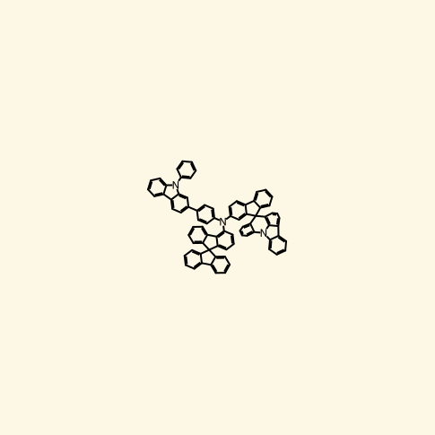 c1ccc(-n2c3ccccc3c3ccc(-c4ccc(N(c5ccc6c(c5)C5(c7ccccc7-6)c6ccccc6-n6c7ccccc7c7cccc5c76)c5cccc6c5-c5ccccc5C65c6ccccc6-c6ccccc65)cc4)cc32)cc1